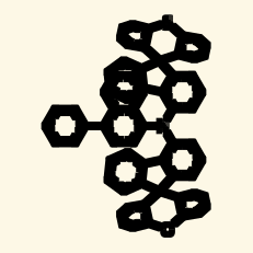 c1ccc(-c2ccc(N(c3cccc4c3-c3ccccc3C43c4ccccc4Oc4ccccc43)c3cccc4c3-c3ccccc3C43c4ccccc4Sc4ccccc43)c3ccccc23)cc1